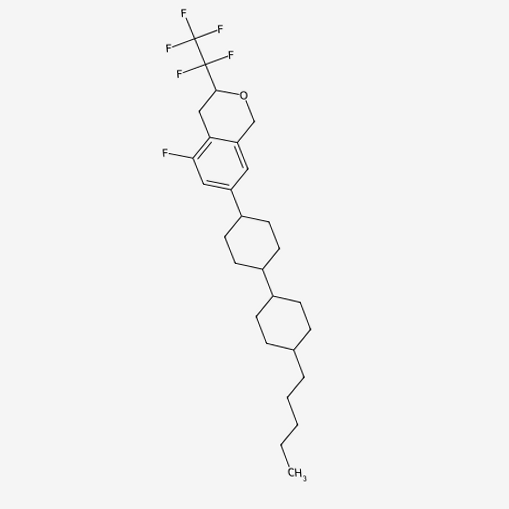 CCCCCC1CCC(C2CCC(c3cc(F)c4c(c3)COC(C(F)(F)C(F)(F)F)C4)CC2)CC1